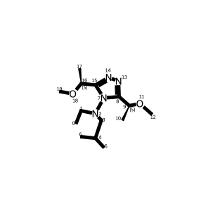 CCN(CC(C)C)n1c([C@H](C)OC)nnc1[C@H](C)OC